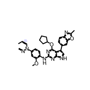 C=NN(/C=C\C)c1ccc(Nc2nc(OC3CCCC3)c3c(-c4ccc5nc(C)oc5c4)c[nH]c3n2)c(OC)c1